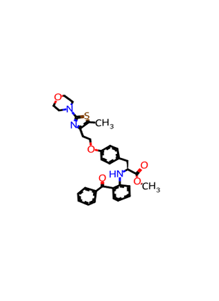 COC(=O)[C@H](Cc1ccc(OCCc2nc(N3CCOCC3)sc2C)cc1)Nc1ccccc1C(=O)c1ccccc1